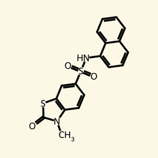 Cn1c(=O)sc2cc(S(=O)(=O)Nc3cccc4ccccc34)ccc21